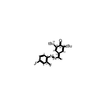 CC(N=Nc1ccc(F)cc1F)=C1C=C(C(C)(C)C)C(=O)C(C(C)(C)C)=C1